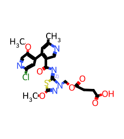 COc1nn(COC(=O)CCC(=O)O)/c(=N/C(=O)c2cnc(C)cc2-c2cc(Cl)ncc2OC)s1